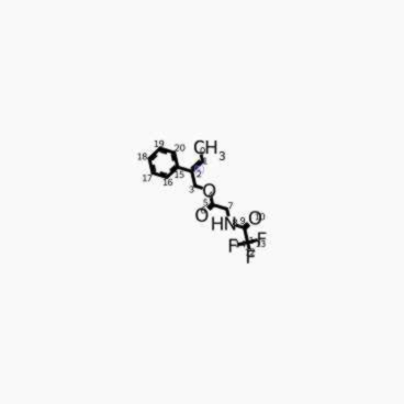 C/C=C(/COC(=O)CNC(=O)C(F)(F)F)c1ccccc1